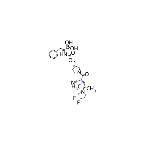 CC(C)(/C=C(\C#N)C(=O)N1CC[C@H](COC(=O)N[C@@H](Cc2ccccc2)B(O)O)C1)N1CCC(F)(F)C1